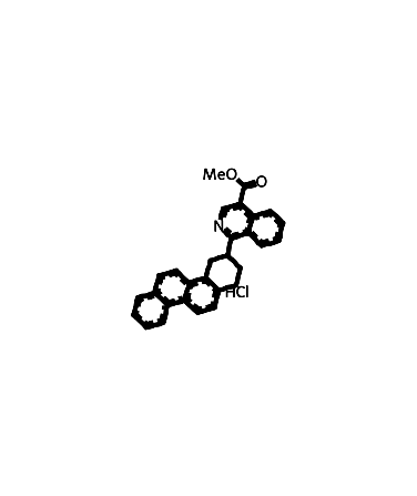 COC(=O)c1cnc(C2CCc3ccc4c(ccc5ccccc54)c3C2)c2ccccc12.Cl